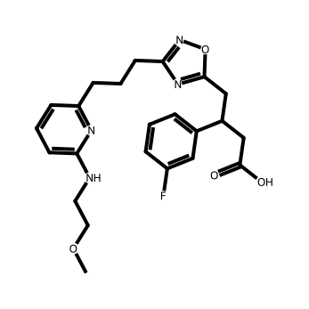 COCCNc1cccc(CCCc2noc(CC(CC(=O)O)c3cccc(F)c3)n2)n1